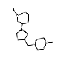 CN1CCN(CC2CCN(C3CCCN(I)C3)C2)CC1